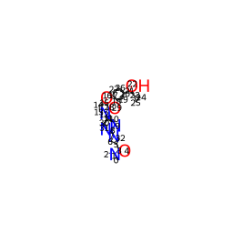 CN(C)C(=O)C1CN(c2ncc(N3CC[C@@H](Oc4ccc(C(O)C5CC5)cc4)C3=O)cn2)C1